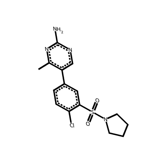 Cc1nc(N)ncc1-c1ccc(Cl)c(S(=O)(=O)N2CCCC2)c1